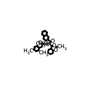 CC(=O)O[C@H](NC(=O)c1cc2ccccc2cc1NC(=O)Cc1c(C)cc(C)cc1C)C1CCCCC1